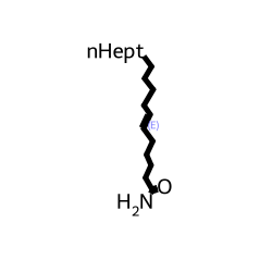 CCCCCCCCCCC/C=C/CCCCC(N)=O